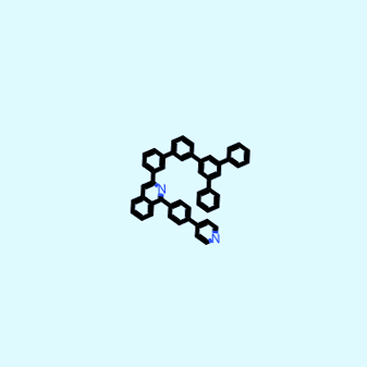 c1ccc(-c2cc(-c3ccccc3)cc(-c3cccc(-c4cccc(-c5cc6ccccc6c(-c6ccc(-c7ccncc7)cc6)n5)c4)c3)c2)cc1